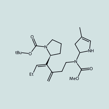 C=C(CCN(C(=O)OC)C1CC(C)=CN1)/C(=C\CC)[C@@H]1CCCN1C(=O)OC(C)(C)C